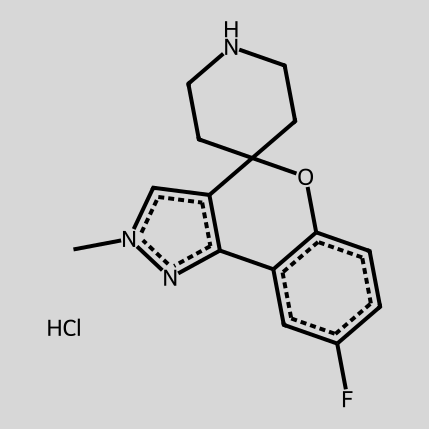 Cl.Cn1cc2c(n1)-c1cc(F)ccc1OC21CCNCC1